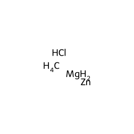 C.Cl.[MgH2].[Zn]